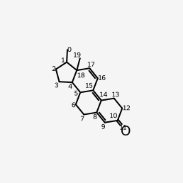 CC1CCC2C3CCC4=CC(=O)CCC4=C3C=CC12C